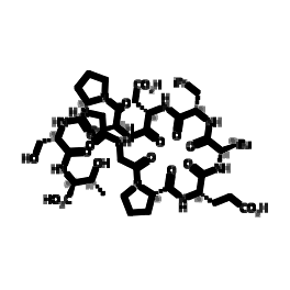 CC[C@H](C)[C@H](NC(=O)[C@H](CCC(=O)O)NC(=O)[C@@H]1CCCN1C(=O)CNC(=O)CN)C(=O)N[C@@H](CC(C)C)C(=O)N[C@@H](CC(=O)O)C(=O)N[C@H](C(=O)N1CCC[C@H]1C(=O)N[C@@H](CO)C(=O)N[C@H](C(=O)O)[C@@H](C)O)C(C)C